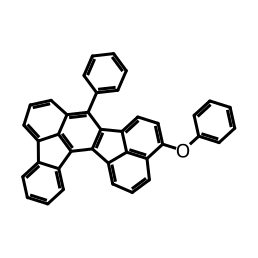 c1ccc(Oc2ccc3c4c(-c5ccccc5)c5cccc6c7ccccc7c(c56)c4c4cccc2c34)cc1